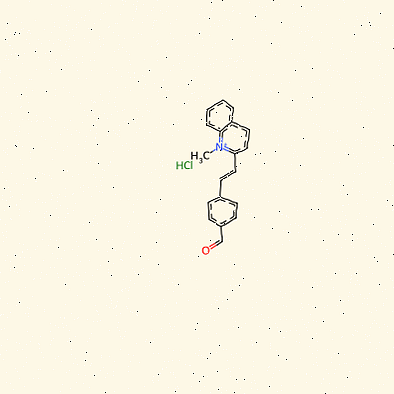 C[n+]1c(C=Cc2ccc(C=O)cc2)ccc2ccccc21.Cl